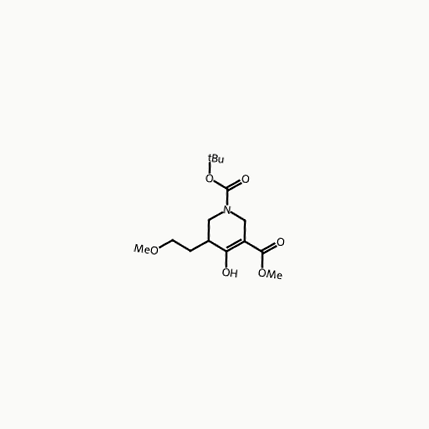 COCCC1CN(C(=O)OC(C)(C)C)CC(C(=O)OC)=C1O